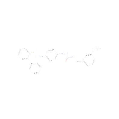 COc1cccc(CNC(=O)Nc2ccc(N[S+]([O-])c3ccccc3-c3ccccc3)cc2)c1